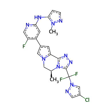 C[C@H]1Cn2cc(-c3cc(Nc4ccnn4C)ncc3F)cc2-c2nnc(C(F)(F)n3cc(Cl)cn3)n21